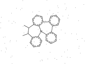 CC1c2ccccc2N2c3ccccc3-c3ccccc3-c3cccc(c32)C1C